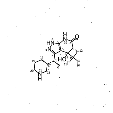 C[C@H](c1n[nH]c2c1C(O)(C(F)(F)F)CC(=O)N2)[C@@H]1CCCNC1